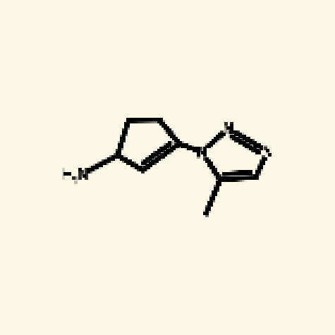 Cc1cnnn1C1=CC(N)CC1